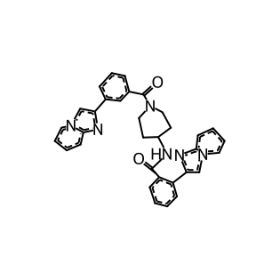 O=C(NC1CCN(C(=O)c2cccc(-c3cn4ccccc4n3)c2)CC1)c1ccccc1-c1cn2ccccc2n1